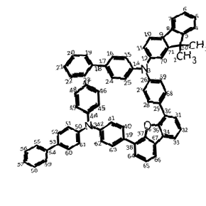 CC1(C)c2ccccc2-c2ccc(N(c3ccc(-c4ccccc4)cc3)c3ccc(-c4cccc5c4oc4c(-c6ccc(N(c7ccccc7)c7ccc(-c8ccccc8)cc7)cc6)cccc45)cc3)cc21